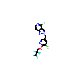 FC(F)C(F)(F)COc1ncc(Cn2cc3c(Cl)nccc3n2)cc1Cl